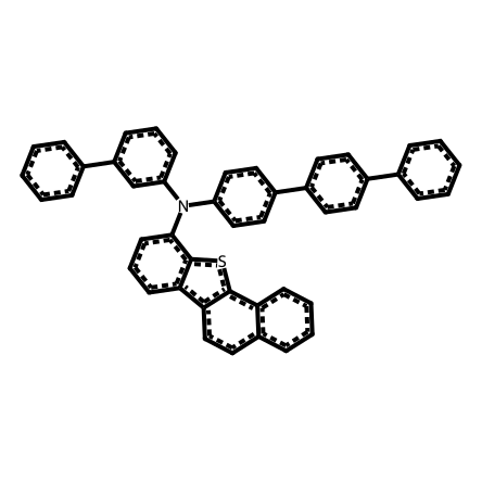 c1ccc(-c2ccc(-c3ccc(N(c4cccc(-c5ccccc5)c4)c4cccc5c4sc4c6ccccc6ccc54)cc3)cc2)cc1